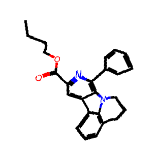 CCCCOC(=O)c1cc2c3cccc4c3n(c2c(-c2ccccc2)n1)CCC4